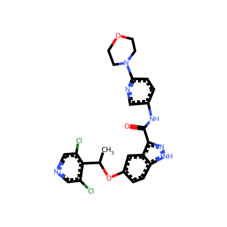 CC(Oc1ccc2[nH]nc(C(=O)Nc3ccc(N4CCOCC4)nc3)c2c1)c1c(Cl)cncc1Cl